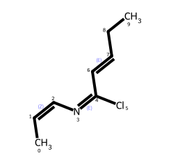 C\C=C/N=C(Cl)\C=C\CC